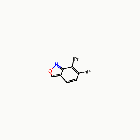 CC(C)c1ccc2conc2c1C(C)C